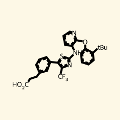 CC(C)(C)c1ccccc1Oc1ncccc1Nc1nc(C(F)(F)F)c(-c2cccc(CCC(=O)O)c2)s1